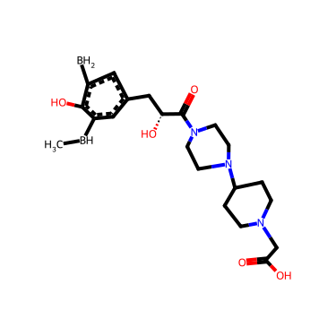 Bc1cc(C[C@@H](O)C(=O)N2CCN(C3CCN(CC(=O)O)CC3)CC2)cc(BC)c1O